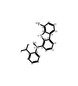 CC(C)c1ccccc1N(I)c1cccc2c1sc1c(F)cccc12